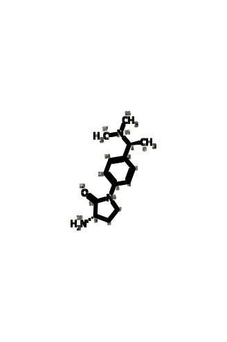 C[C@@H](c1ccc(N2CC[C@H](N)C2=O)cc1)N(C)C